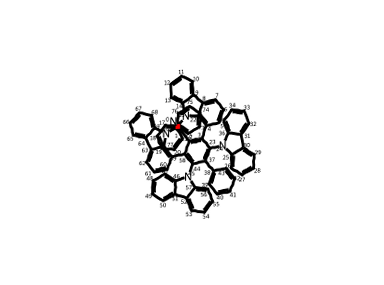 N#Cc1c(-c2cccc3c4ccccc4n(-c4ccccc4)c23)c(-n2c3ccccc3c3ccccc32)c(-c2ccccc2)c(-n2c3ccccc3c3ccccc32)c1-c1cccc2c3ccccc3n(-c3ccccc3)c12